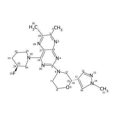 Cc1nc2nc(N3CCO[C@@H](c4cnn(C)c4)C3)nc(N3CCC[C@H](F)C3)c2nc1C